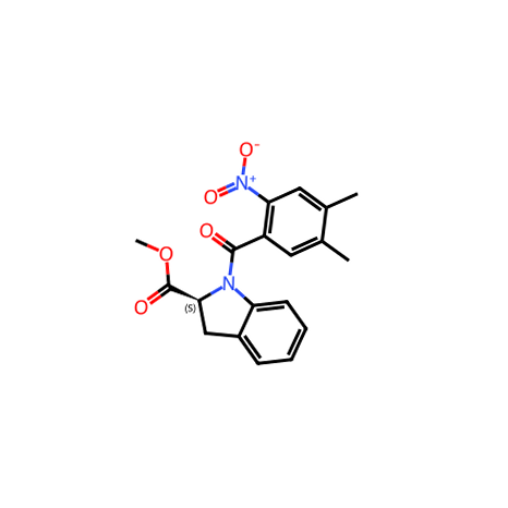 COC(=O)[C@@H]1Cc2ccccc2N1C(=O)c1cc(C)c(C)cc1[N+](=O)[O-]